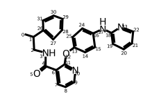 CC(CNC(=O)c1cccnc1Oc1ccc(Nc2ccccn2)cc1)c1ccccc1